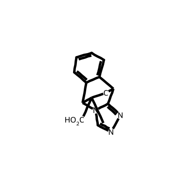 CC1(C(=O)O)CC2c3ccccc3C1n1cnnc12